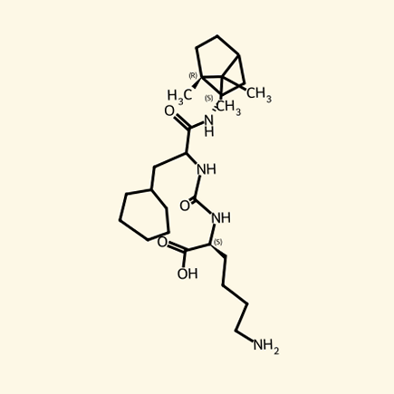 CC1(C)C2CC[C@@]1(C)[C@@H](NC(=O)C(CC1CCCCC1)NC(=O)N[C@@H](CCCCN)C(=O)O)C2